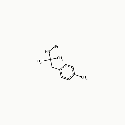 Cc1ccc(CC(C)(C)NC(C)C)cc1